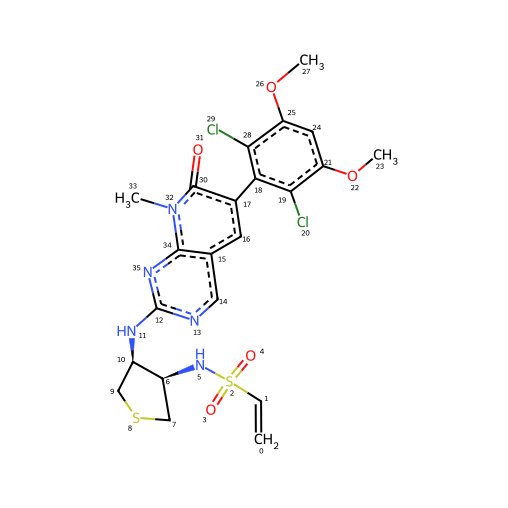 C=CS(=O)(=O)N[C@H]1CSC[C@H]1Nc1ncc2cc(-c3c(Cl)c(OC)cc(OC)c3Cl)c(=O)n(C)c2n1